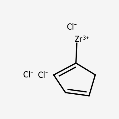 [Cl-].[Cl-].[Cl-].[Zr+3][C]1=CC=CC1